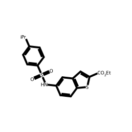 CCOC(=O)c1cc2cc(NS(=O)(=O)c3ccc(C(C)C)cc3)ccc2s1